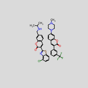 CC(C)NCc1ccc2cc(-c3nc4c(Cl)cccc4s3)c(=O)oc2c1.CN1CCN(c2ccc3cc(-c4cccc(C(F)(F)F)c4)c(=O)oc3c2)CC1